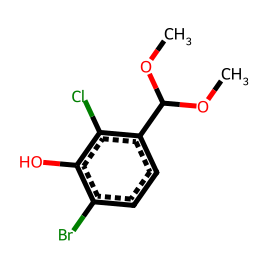 COC(OC)c1ccc(Br)c(O)c1Cl